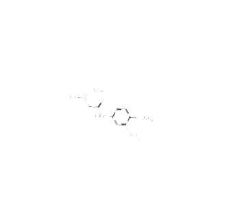 CCC(CC(=O)Nc1ccc(OC)c(N)c1)OC